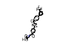 O=C(O)/C=C/C(=O)N1CCC(c2nc(C(=O)N3CCN(c4cccc(C(F)(F)F)c4)CC3)cs2)CC1